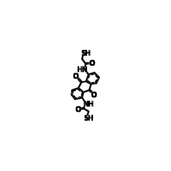 O=C(CS)Nc1cccc2c1C(=O)c1cccc(NC(=O)CS)c1C2=O